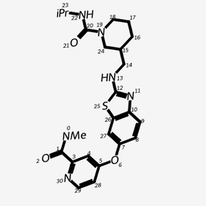 CNC(=O)c1cc(Oc2ccc3nc(NCC4CCCN(C(=O)NC(C)C)C4)sc3c2)ccn1